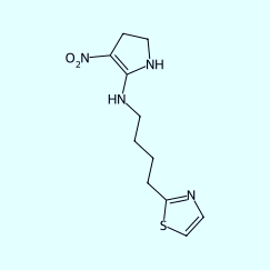 O=[N+]([O-])C1=C(NCCCCc2nccs2)NCC1